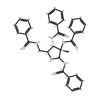 C[C@@]1(OC(=O)c2ccccc2)C(OC(=O)c2ccccc2)OC(COC(=O)c2ccccc2)[C@@H]1OC(=O)c1ccccc1